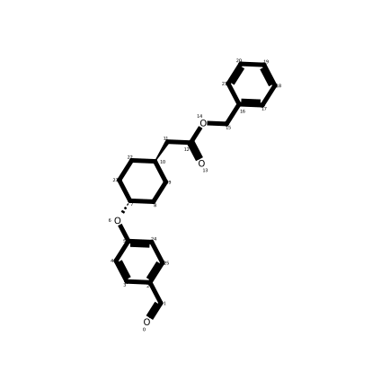 O=Cc1ccc(O[C@H]2CC[C@H](CC(=O)OCc3ccccc3)CC2)cc1